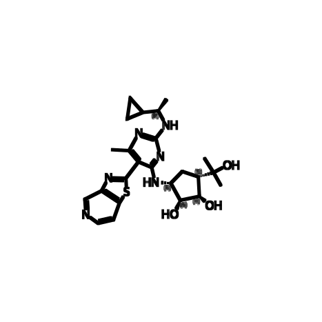 Cc1nc(N[C@H](C)C2CC2)nc(N[C@@H]2C[C@H](C(C)(C)O)[C@@H](O)[C@H]2O)c1-c1nc2cnccc2s1